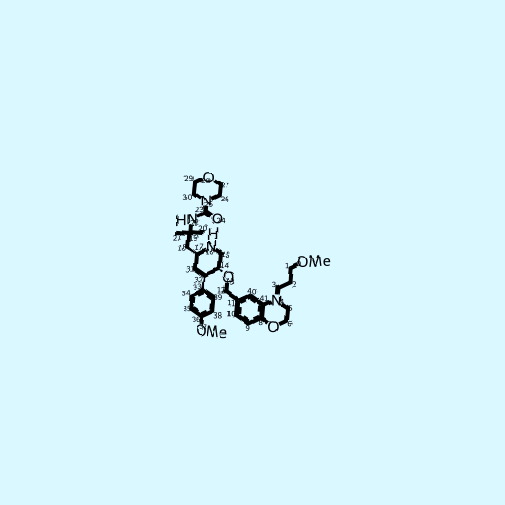 COCCCN1CCOc2ccc(CO[C@H]3CN[C@H](CC(C)(C)NC(=O)N4CCOCC4)C[C@@H]3c3ccc(OC)cc3)cc21